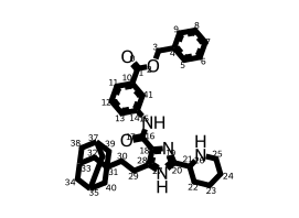 O=C(OCc1ccccc1)c1cccc(NC(=O)c2nc(C3CCCCN3)[nH]c2CCC23CC4CC(CC(C4)C2)C3)c1